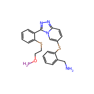 NCc1ccccc1Sc1ccc2nnc(-c3ccccc3SCCOP)n2c1